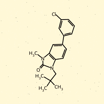 Cn1c(=O)n(CC(C)(C)C)c2ccc(-c3cccc(Cl)c3)cc21